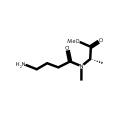 COC(=O)[C@H](C)N(C)C(=O)CCCN